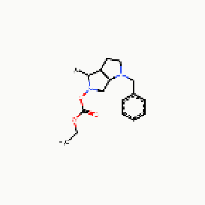 CCOC(=O)ON1CC2C(CCN2Cc2ccccc2)C1C